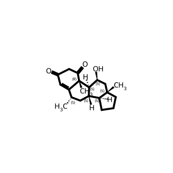 C[C@H]1C[C@@H]2[C@H]([C@@H](O)C[C@]3(C)CCC[C@@H]23)[C@@]2(C)C(=O)CC(=O)C=C12